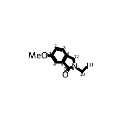 COc1ccc2c(c1)C(=O)N(CI)C2